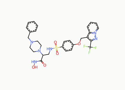 O=C(NO)C(CNS(=O)(=O)c1ccc(OCc2c(C(F)(F)F)nn3ccccc23)cc1)N1CCN(Cc2ccccc2)CC1